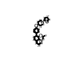 CC(C)Oc1c(-c2ccc(OC3CCN([C@H]4CCCO4)CC3)cc2)ccc2cccnc12